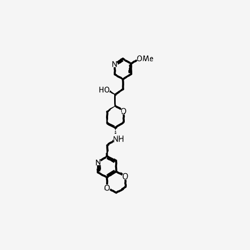 COC1=CC(C[C@H](O)[C@@H]2CC[C@@H](NCc3cc4c(cn3)OCCO4)CO2)CN=C1